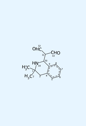 CC1(C)Cc2ccccc2C(C(C=O)C=O)N1